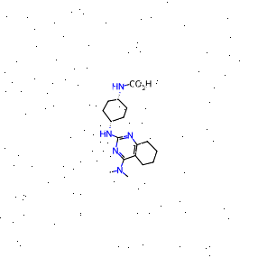 CN(C)c1nc(N[C@H]2CC[C@@H](NC(=O)O)CC2)nc2c1CCCC2